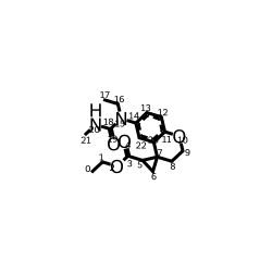 CCOC(=O)C1CC12CCOc1ccc(N(CC)C(=O)NC)cc12